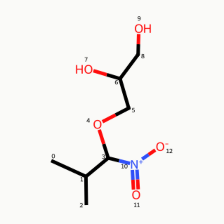 CC(C)C(OCC(O)CO)[N+](=O)[O-]